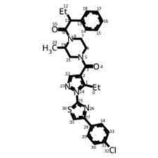 CCc1c(C(=O)N2CCN(C(=O)C(CC)c3ccccc3)C(C)C2)cnn1-c1nc(-c2ccc(Cl)cc2)cs1